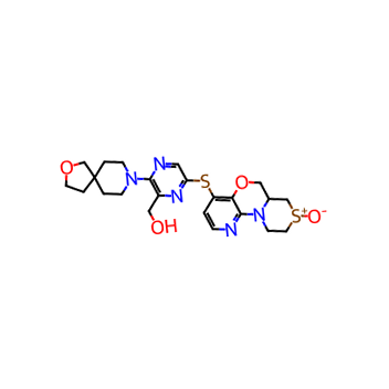 [O-][S+]1CCN2c3nccc(Sc4cnc(N5CCC6(CCOC6)CC5)c(CO)n4)c3OCC2C1